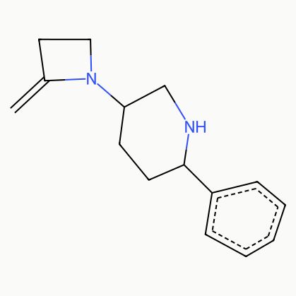 C=C1CCN1C1CCC(c2ccccc2)NC1